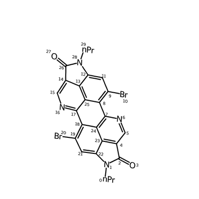 CCCN1C(=O)c2cnc3c4c(Br)cc5c6c(cnc(c7c(Br)cc1c2c37)c64)C(=O)N5CCC